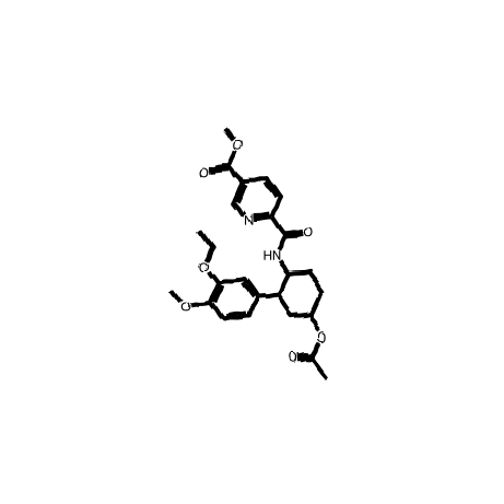 CCOc1cc(C2CC(OC(C)=O)CCC2NC(=O)c2ccc(C(=O)OC)cn2)ccc1OC